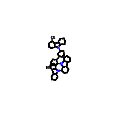 N#Cc1ccc(-c2cccc(-n3c4ccccc4c4c(C#N)cccc43)c2)c(-n2c3ccccc3c3cccc(-n4c5ccccc5c5ccccc54)c32)c1